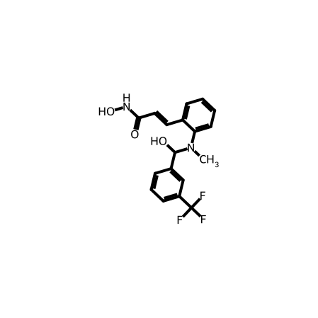 CN(c1ccccc1/C=C/C(=O)NO)C(O)c1cccc(C(F)(F)F)c1